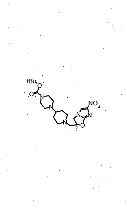 CC(C)(C)OC(=O)N1CCN(C2CCN(C[C@@]3(C)Cn4cc([N+](=O)[O-])nc4O3)CC2)CC1